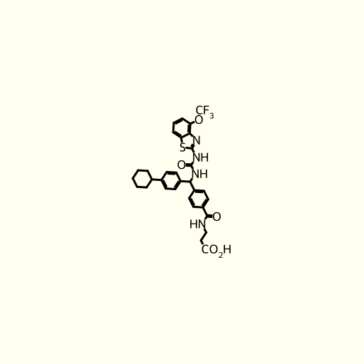 O=C(O)CCNC(=O)c1ccc(C(NC(=O)Nc2nc3c(OC(F)(F)F)cccc3s2)c2ccc(C3CCCCC3)cc2)cc1